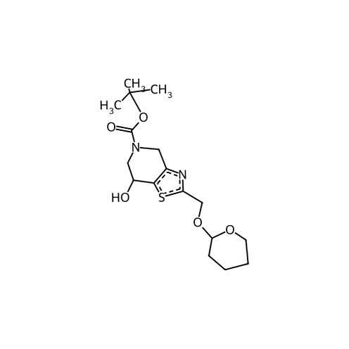 CC(C)(C)OC(=O)N1Cc2nc(COC3CCCCO3)sc2C(O)C1